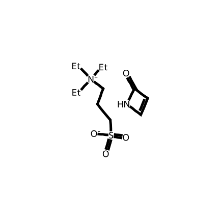 CC[N+](CC)(CC)CCCS(=O)(=O)[O-].O=C1C=CN1